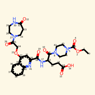 CCOC(=O)N1CCN(C(=O)C(CCC(=O)O)NC(=O)c2cc(OCC(=O)N3CCNC(=O)CC3)c3ccccc3n2)CC1